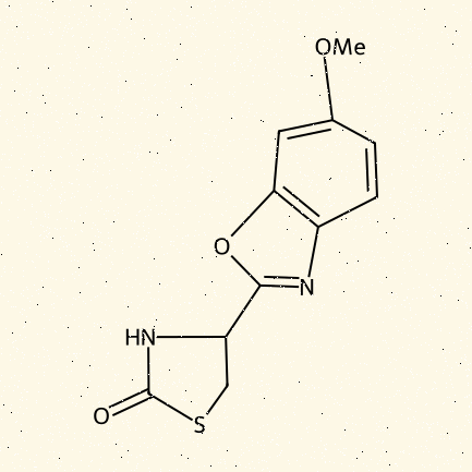 COc1ccc2nc(C3CSC(=O)N3)oc2c1